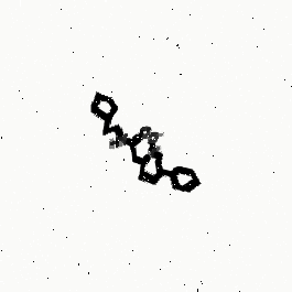 O=C(Cc1ccc(-c2ccccc2)c[n+]1[O-])NCCC1CCCC1